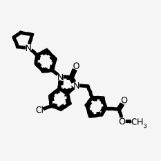 COC(=O)c1cccc(Cn2c(=O)n(-c3ccc(N4CCCC4)cc3)c3cc(Cl)ccc32)c1